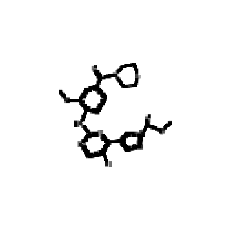 COC(=O)n1cc(-c2nc(Nc3ccc(C(=O)N4CCOCC4)cc3OC)ncc2Cl)cn1